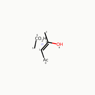 CC(=O)/C=C(/C)O.CC(=O)O